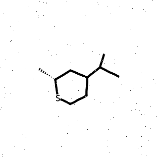 CC(C)C1CCS[C@H](C)C1